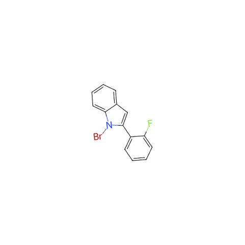 Fc1ccccc1-c1cc2ccccc2n1Br